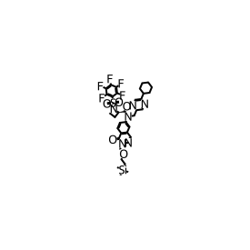 C[Si](C)(C)CCOCn1ncc2cc(N(Cc3cnc(C4CCCCC4)cn3)C(=O)[C@H]3CCN3S(=O)(=O)c3c(F)c(F)c(F)c(F)c3F)ccc2c1=O